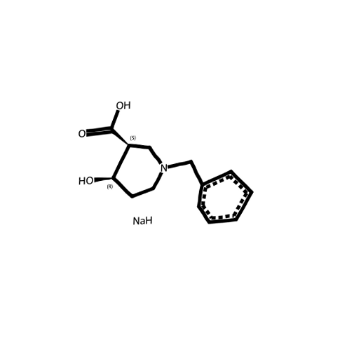 O=C(O)[C@H]1CN(Cc2ccccc2)CC[C@H]1O.[NaH]